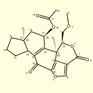 COC[C@H]1OC(=O)c2coc3c2[C@@]1(C)C1=C(C3=O)C2CCC[C@@]2(C)C[C@H]1OC(C)=O